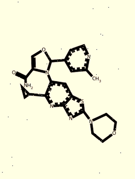 Cc1cc(C2OC=C(C(N)=O)N2c2cc3sc(N4CCOCC4)nc3nc2C2CC2)ccn1